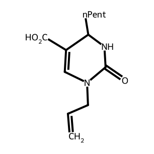 C=CCN1C=C(C(=O)O)C(CCCCC)NC1=O